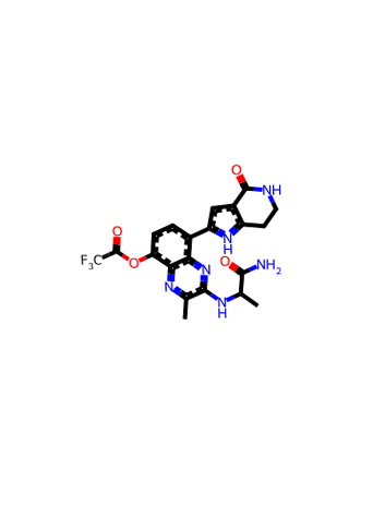 Cc1nc2c(OC(=O)C(F)(F)F)ccc(-c3cc4c([nH]3)CCNC4=O)c2nc1NC(C)C(N)=O